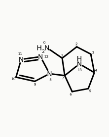 NC1CCC2CCC1(n1ccnn1)N2